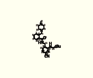 CN1CCN(Cc2ccccc2C(=O)NCc2cnc(C#N)nc2NCC(C)(C)C)CC1